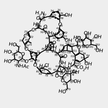 CC(=O)NC1C(O)[C@H](O)C(CO)O[C@H]1Oc1c2cc3cc1OC1=C(C)C=C(CC1)C[C@H]1NC(=O)[C@H](N)c4ccc(O)c(c4)Oc4cc(O)cc(c4)[C@H](NC1=O)C(=O)N[C@H]3C(=O)N[C@H]1C(=O)N[C@]3(C[C@]3(O[C@@H]3OC(CO)[C@@H](O)C(O)C3NC(C)=O)C3=CC=C(O2)[C@@H](Cl)C3)C(=O)N[C@H](C(=O)O)C2=CC(C)(O)CC(O[C@H]3OC(CO)[C@@H](O)C(O)C3O)=C2C2C(CO)=CC=C1C2C